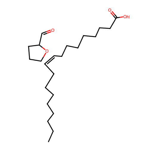 CCCCCCCC/C=C\CCCCCCCC(=O)O.O=CC1CCCO1